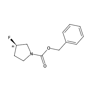 O=C(OCc1ccccc1)N1CC[C@@H](F)C1